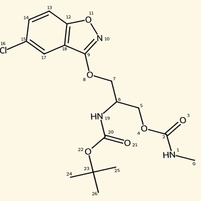 CNC(=O)OCC(COc1noc2ccc(Cl)cc12)NC(=O)OC(C)(C)C